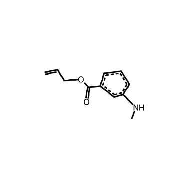 C=CCOC(=O)c1cccc(NC)c1